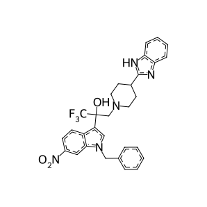 O=[N+]([O-])c1ccc2c(C(O)(CN3CCC(c4nc5ccccc5[nH]4)CC3)C(F)(F)F)cn(Cc3ccccc3)c2c1